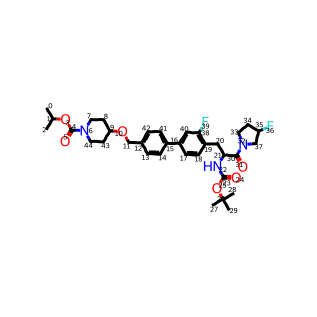 CC(C)OC(=O)N1CCC(OCc2ccc(-c3ccc(CC(NC(=O)OC(C)(C)C)C(=O)N4CCC(F)C4)c(F)c3)cc2)CC1